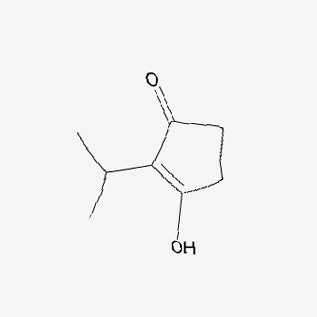 CC(C)C1=C(O)CCC1=O